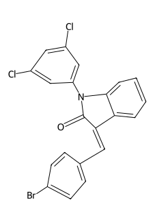 O=C1C(=Cc2ccc(Br)cc2)c2ccccc2N1c1cc(Cl)cc(Cl)c1